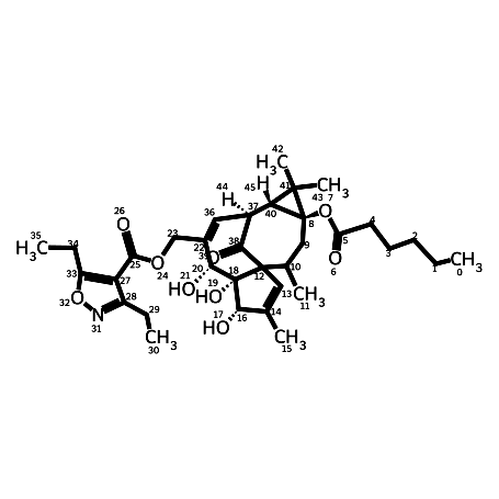 CCCCCC(=O)O[C@@]12CC(C)C34C=C(C)[C@H](O)[C@@]3(O)[C@H](O)C(COC(=O)c3c(CC)noc3CC)=C[C@H](C4=O)[C@@H]1C2(C)C